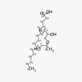 CC(O)COC(C)CO.CCCCCCCCCCCCCCCC(=O)O